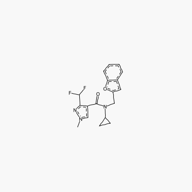 Cn1cc(C(=O)N(Cc2cc3ccccc3o2)C2CC2)c(C(F)F)n1